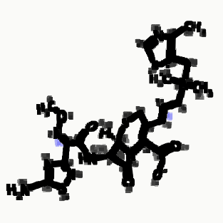 CO/N=C(\C(=O)N[C@@H]1C(=O)N2C(C(=O)[O-])=C(/C=C/C[N+](C)(C)Cc3scnc3C)CS[C@H]12)c1nsc(N)n1